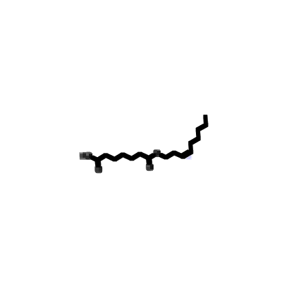 CCCCC/C=C\CCOC(=O)CCCCCC(=O)O